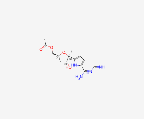 CC(=O)OC[C@@H]1C[C@@H](O)[C@](C)(c2ccc(/C(N)=N\C=N)[nH]2)O1